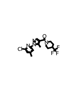 Cc1cc(Cl)nc(-n2ncc(C(=O)N3CCC(C(F)(F)F)CC3)c2C)c1